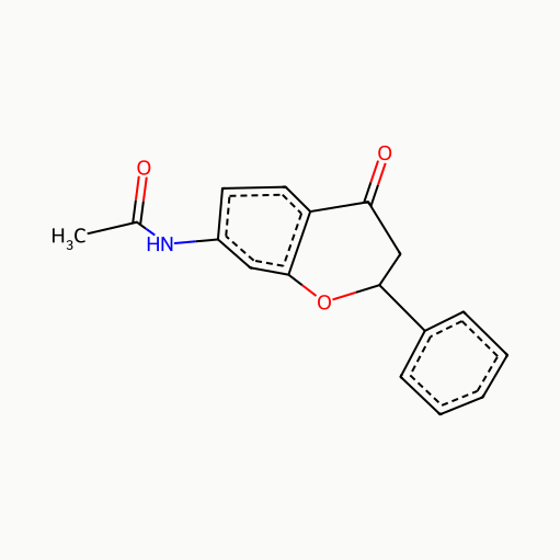 CC(=O)Nc1ccc2c(c1)OC(c1ccccc1)CC2=O